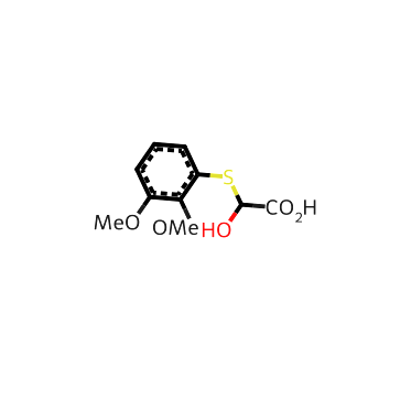 COc1cccc(SC(O)C(=O)O)c1OC